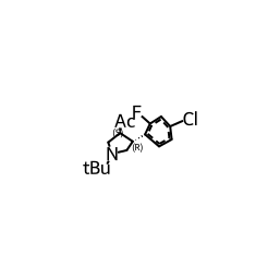 CC(=O)[C@@H]1CN(C(C)(C)C)C[C@H]1c1ccc(Cl)cc1F